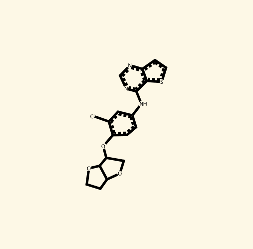 Clc1cc(Nc2ncnc3ccsc23)ccc1OC1COC2CCOC21